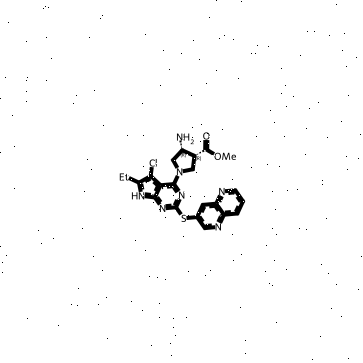 CCc1[nH]c2nc(Sc3cnc4cccnc4c3)nc(N3C[C@H](N)[C@H](C(=O)OC)C3)c2c1Cl